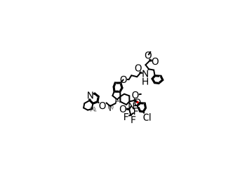 COC(=O)CC(Cc1ccccc1)NC(=O)CCCOc1ccc2c(c1)C1(CCC(C(=O)OC)(N(C(=O)C(F)(F)F)c3cccc(Cl)c3)CC1)[C@@H](C[C@@H](C)COc1ccnc3c1[C@H](C)CCC3)C2